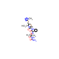 Cn1nnnc1SCC1=C(C(=O)O)N2C(=O)[C@@H](NC(=O)/C(=N\OC(C)(C)C(=O)NC(N)=O)c3ccccc3)[C@H]2SC1